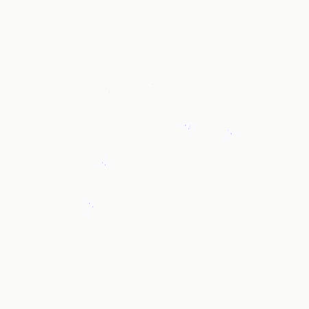 CC1(C)CC(NCc2ccccn2)CC(C)(CNCc2ccccn2)C1